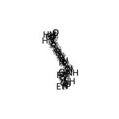 CCN(C)S(=O)(=O)Nc1ccc(F)c(C(=O)c2c[nH]c3ncc(-c4cnc(N5CCC(N6CCC(c7ccc(NC8CCC(=O)NC8=O)cc7)CC6)CC5)nc4)cc23)c1F